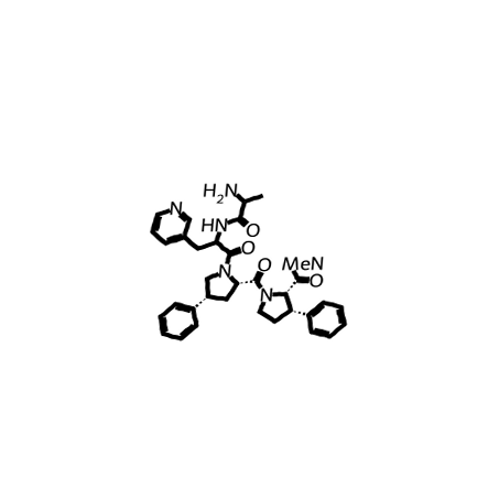 CNC(=O)[C@@H]1[C@H](c2ccccc2)CCN1C(=O)[C@@H]1C[C@H](c2ccccc2)CN1C(=O)C(Cc1cccnc1)NC(=O)C(C)N